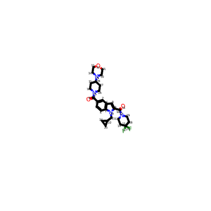 O=C(c1ccc2c(c1)cc(C(=O)N1CCC(F)(F)CC1)n2CC1CC1)N1CCC(N2CCOCC2)CC1